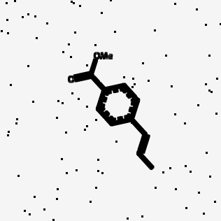 C/C=C/c1ccc(C(=O)OC)cc1